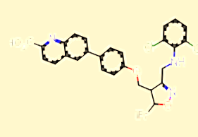 CC(C)C1ON=C(CNc2c(Cl)cccc2Cl)C1COc1ccc(-c2ccc3nc(C(=O)O)ccc3c2)cc1